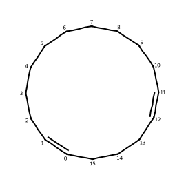 C1=C\CCCCCCCCC/C=C\CCC/1